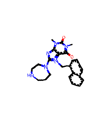 Cn1c(=O)c2c(nc(N3CCCNCC3)n2Cc2cccc3ccccc23)n(C)c1=O